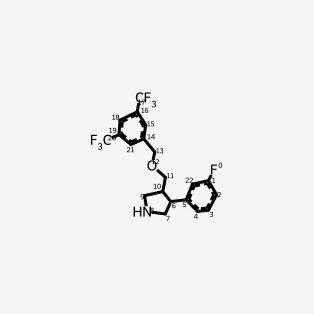 Fc1cccc(C2CNCC2COCc2cc(C(F)(F)F)cc(C(F)(F)F)c2)c1